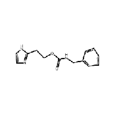 O=C(NCc1ccccc1)OCCc1ncc[nH]1